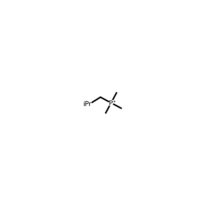 CC(C)C[P+](C)(C)C